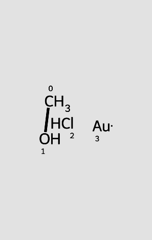 CO.Cl.[Au]